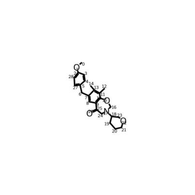 COc1ccc(Cc2cc3c(c(C)c2C)OCN(C2CCCOC2)CC3=O)cc1